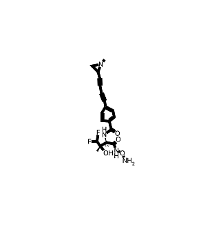 CN1CC1C#CC#Cc1ccc(C(=O)N[C@H](C(=O)NON)[C@](C)(O)C(F)F)cc1